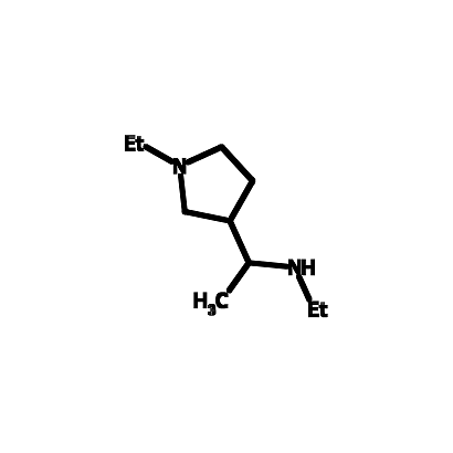 CCNC(C)C1CCN(CC)C1